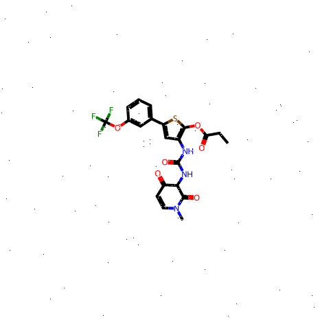 CCC(=O)Oc1sc(-c2cccc(OC(F)(F)F)c2)cc1NC(=O)NC1C(=O)C=CN(C)C1=O